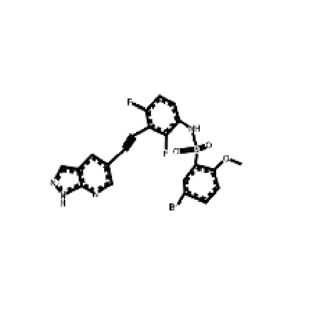 COc1ccc(Br)cc1S(=O)(=O)Nc1ccc(F)c(C#Cc2cnc3[nH]ncc3c2)c1F